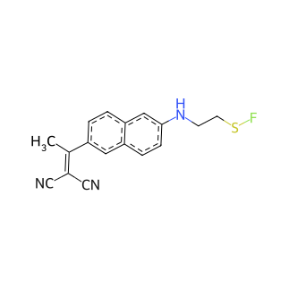 CC(=C(C#N)C#N)c1ccc2cc(NCCSF)ccc2c1